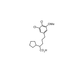 COc1cc(CCCC(C(=O)O)C2CCCC2)cc(Cl)c1Cl